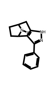 CC(=O)N1C2CCC1c1c(-c3ccccc3)n[nH]c1C2